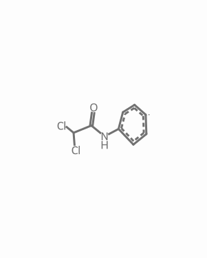 O=C(Nc1cc[c]cc1)C(Cl)Cl